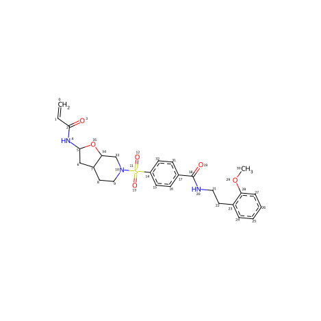 C=CC(=O)NC1CC2CCN(S(=O)(=O)c3ccc(C(=O)NCCc4ccccc4OC)cc3)CC2O1